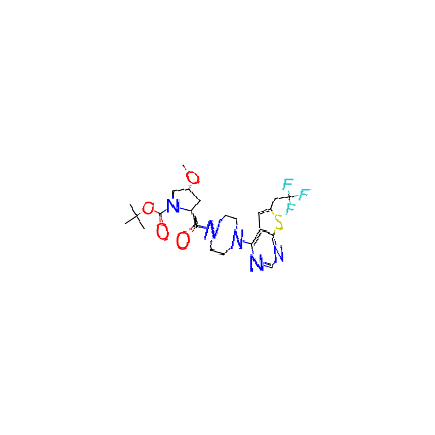 CO[C@@H]1C[C@@H](C(=O)N2CCN(c3ncnc4sc(CC(F)(F)F)cc34)CC2)N(C(=O)OC(C)(C)C)C1